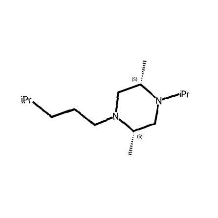 CC(C)CCCN1C[C@H](C)N(C(C)C)C[C@@H]1C